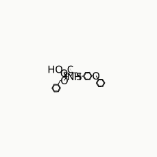 O=C(N[C@@H](CSc1ccc(Oc2ccccc2)cc1)C(=O)O)OCc1ccccc1